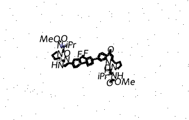 COC(=O)/N=C(/C(=O)N1CCC[C@H]1c1nc(-c2ccc3c(c2)C(F)(F)c2cc(-c4ccc5c(=O)cc(C6CCCN6C(=O)[C@@H](NC(=O)OC)C(C)C)[nH]c5c4)ccc2-3)c[nH]1)C(C)C